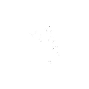 O=C(O)CC[C@H](NC(=O)c1ccc(-c2ccccc2O[C@H]2O[C@H](CO)[C@@H](O)[C@H](O)[C@@H]2O)cc1)C(=O)O